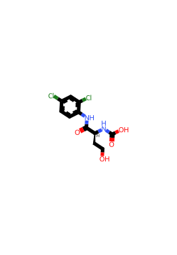 O=C(O)N[C@@H](CCO)C(=O)Nc1ccc(Cl)cc1Cl